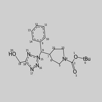 CC(C)(C)OC(=O)N1CCC(C(c2ccccc2)n2nnc(CO)n2)CC1